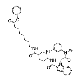 CCc1cccc(N(CC)C(=O)Cn2c(C(=O)NC3CCC(C(=O)NCCCCCCCC(=O)Oc4ccccc4)CC3)cc3ccccc32)c1